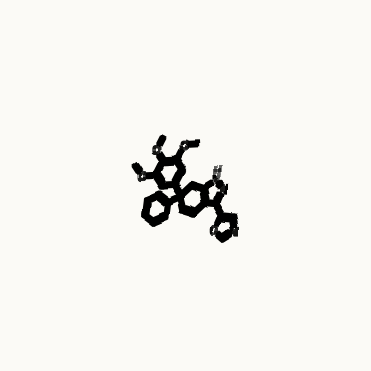 COc1cc(C2(c3ccccc3)C=Cc3c(-c4cnco4)n[nH]c3C2)cc(OC)c1OC